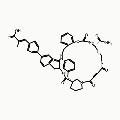 C/C(=C\c1ccc(-c2ccc(C[C@@H]3NC(=O)[C@]4(Cc5ccccc5)CCCN(C4)C(=O)/C=C/C(=O)NCC[C@@H](C(N)=O)NC(=O)Cc4ccccc4CNC3=O)cc2)cc1)C(=O)O